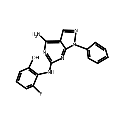 Nc1nc(Nc2c(O)cccc2F)nc2c1cnn2-c1ccccc1